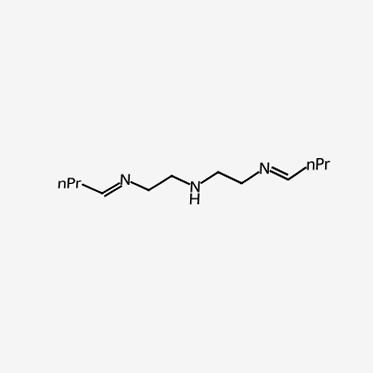 CCCC=NCCNCCN=CCCC